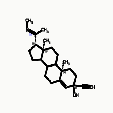 C#C[C@]1(O)C=C2CCC3C(CC[C@@]4(C)C3CC[C@@H]4/C(C)=N/C)[C@@]2(C)CC1